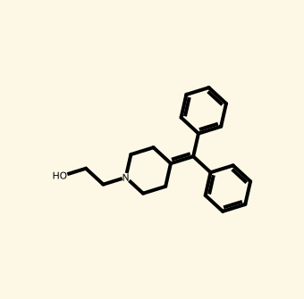 OCCN1CCC(=C(c2ccccc2)c2ccccc2)CC1